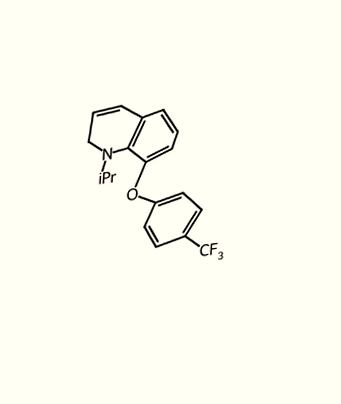 CC(C)N1CC=Cc2cccc(Oc3ccc(C(F)(F)F)cc3)c21